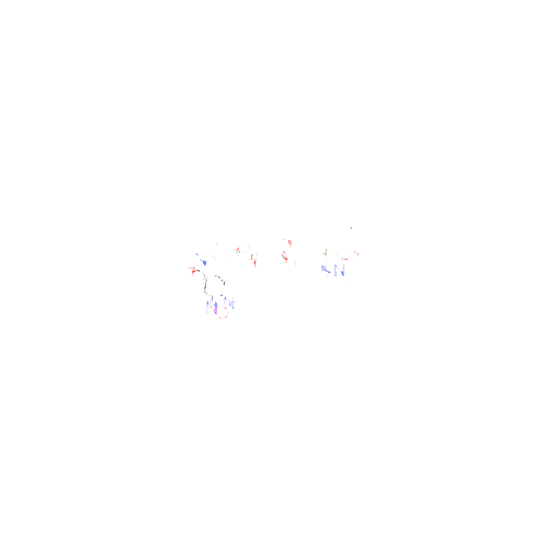 CCCSS/C(CCOC(=O)CCC(=O)O[C@H]1CC[C@H](N(C)C(=O)c2ccc3nonc3c2)CC1)=C(/C)N(C)C=O